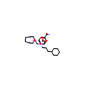 NC(=O)c1cccc([C@H]2C[C@H]3CC[C@@H](C2)N3CCN(CCCC2CCCCC2)C(=O)CO)c1